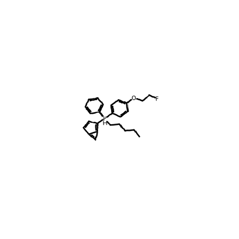 CCCCC[PH](c1ccccc1)(c1ccc(OCCF)cc1)c1ccc2cc1-2